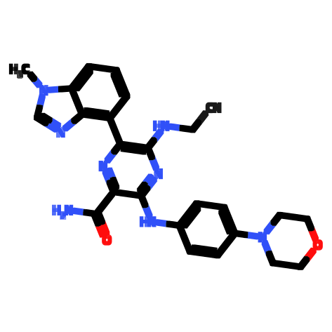 Cn1cnc2c(-c3nc(C(N)=O)c(Nc4ccc(N5CCOCC5)cc4)nc3NCC#N)cccc21